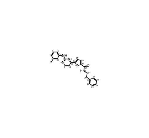 Cc1cccc(Nc2nccc(-c3ccc(C(=O)NCCc4ccccc4)s3)n2)c1